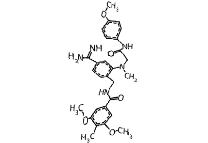 COc1ccc(NC(=O)CN(C)c2cc(C(=N)N)ccc2CNC(=O)c2cc(OC)c(C)c(OC)c2)cc1